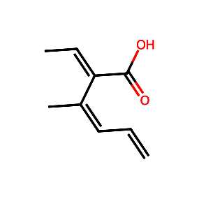 C=C/C=C(C)\C(=C/C)C(=O)O